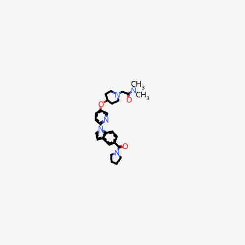 CN(C)C(=O)CN1CCC(Oc2ccc(-n3ccc4cc(C(=O)N5CCCC5)ccc43)nc2)CC1